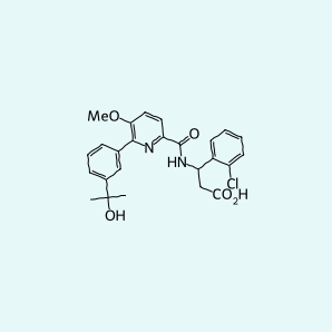 COc1ccc(C(=O)NC(CC(=O)O)c2ccccc2Cl)nc1-c1cccc(C(C)(C)O)c1